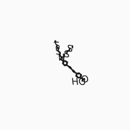 CCSCCSCCN(CCSCCSCC)Cc1ccc(C#CC#Cc2ccc(C(=O)O)cc2)cc1